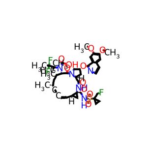 COc1cc2ccnc(O[C@@H]3C[C@H]4C(=O)N[C@]5(C(=O)NS(=O)(=O)C6(CF)CC6)C[C@H]5C=CCC[C@H](C)C[C@@H](C)[C@H](N(C(=O)O)C(C)(C)C(C)(F)F)C(=O)N4C3)c2cc1OC